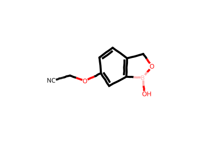 N#CCOc1ccc2c(c1)B(O)OC2